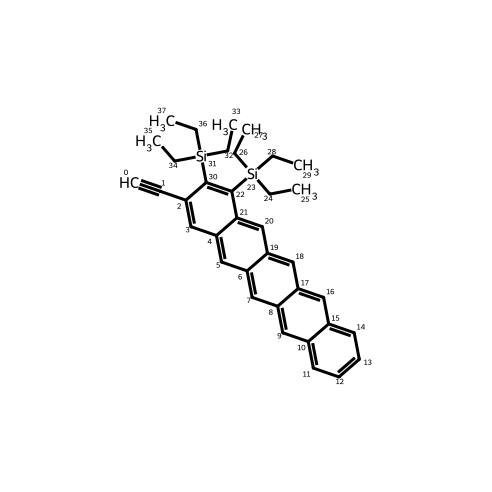 C#Cc1cc2cc3cc4cc5ccccc5cc4cc3cc2c([Si](CC)(CC)CC)c1[Si](CC)(CC)CC